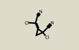 N#CC(Cl)=C1CC1(Cl)C#N